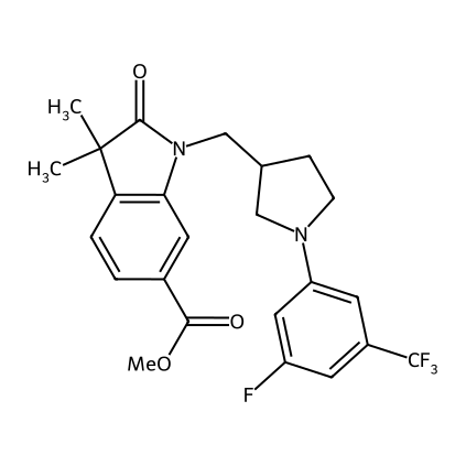 COC(=O)c1ccc2c(c1)N(CC1CCN(c3cc(F)cc(C(F)(F)F)c3)C1)C(=O)C2(C)C